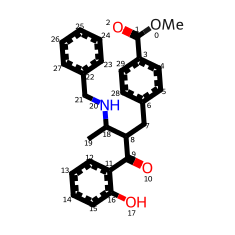 COC(=O)c1ccc(CC(C(=O)c2ccccc2O)C(C)NCc2ccccc2)cc1